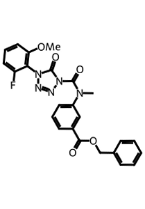 COc1cccc(F)c1-n1nnn(C(=O)N(C)c2cccc(C(=O)OCc3ccccc3)c2)c1=O